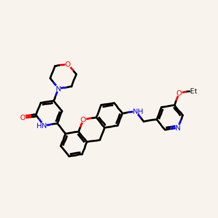 CCOc1cncc(CNc2ccc3c(c2)Cc2cccc(-c4cc(N5CCOCC5)cc(=O)[nH]4)c2O3)c1